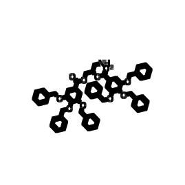 NCC(COC(=O)c1cc(OCc2ccccc2)c(OCc2ccccc2)c(OCc2ccccc2)c1)OC(=O)c1cc(OCc2ccccc2)c(OCc2ccccc2)c(OCc2ccccc2)c1